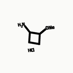 COC1CCC1N.Cl